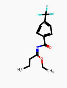 CCC/C(=N/C(=O)c1ccc(C(F)(F)F)cc1)OCC